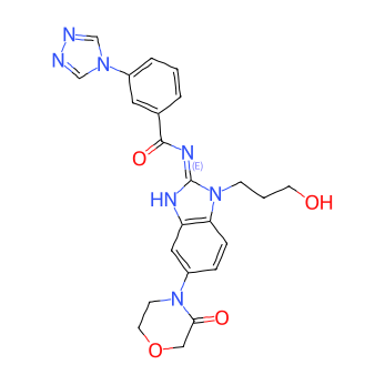 O=C(/N=c1\[nH]c2cc(N3CCOCC3=O)ccc2n1CCCO)c1cccc(-n2cnnc2)c1